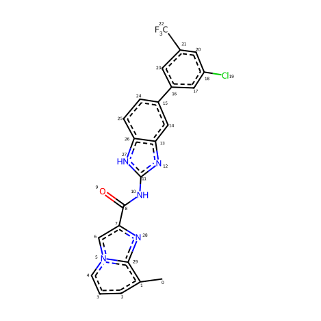 Cc1cccn2cc(C(=O)Nc3nc4cc(-c5cc(Cl)cc(C(F)(F)F)c5)ccc4[nH]3)nc12